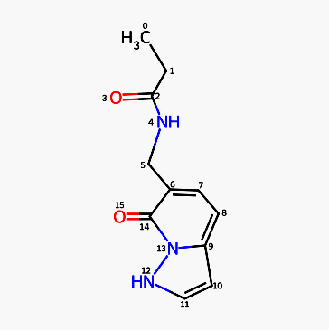 CCC(=O)NCc1ccc2cc[nH]n2c1=O